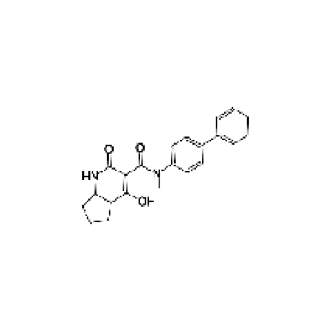 O=C(Nc1ccc(-c2ccccc2)cc1)C1=C(O)C2CCCC2NC1=O